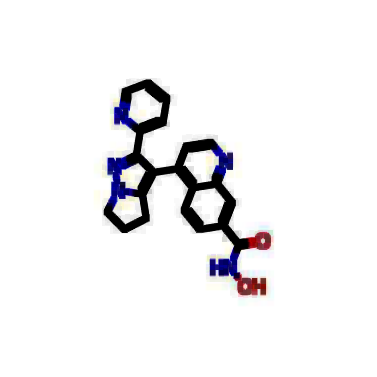 O=C(NO)c1ccc2c(-c3c(-c4ccccn4)nn4c3CCC4)ccnc2c1